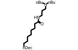 CCCCCCCCCCCCCCCCCC(=O)NCCCN(CCCC)CCCC